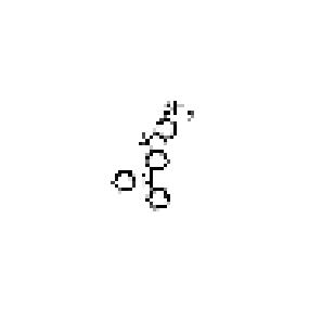 Bc1ccc2c(c1)C(C)(C)c1cc(N(c3ccccc3)c3ccccc3)ccc1-2